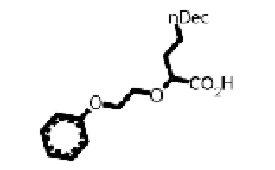 CCCCCCCCCCCCC(OCCOc1ccccc1)C(=O)O